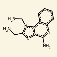 BCn1c(CN)nc2c(N)nc3ccccc3c21